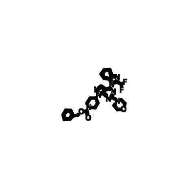 O=C(OCc1ccccc1)N1CCC(n2ncc3c(-n4c(C(F)F)nc5ccccc54)nc(N4CCOCC4)nc32)CC1